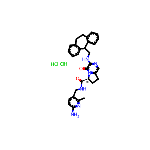 Cc1nc(N)ccc1CNC(=O)[C@@H]1CCc2cnc(NCC3c4ccccc4CCc4ccccc43)c(=O)n21.Cl.Cl